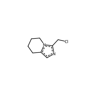 ClCc1ncc2n1CCCC2